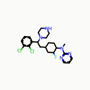 CN(c1ncccn1)C1CCC(CC(c2cccc(Cl)c2Cl)N2CCNCC2)CC1F